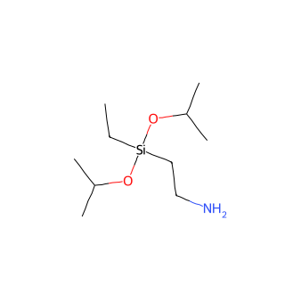 CC[Si](CCN)(OC(C)C)OC(C)C